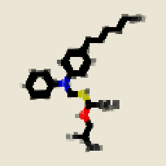 CCCCC(CC)COC(SCN(c1ccccc1)c1ccc(CCCCCC(C)C)cc1)C(=O)O